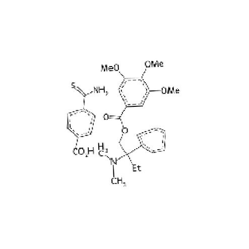 CCC(COC(=O)c1cc(OC)c(OC)c(OC)c1)(c1ccccc1)N(C)C.NC(=S)c1ccc(C(=O)O)cc1